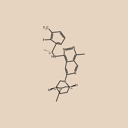 Cc1nnc(N[C@H](C)c2cccc(C(F)(F)F)c2F)c2cc(N3C[C@H]4CC[C@@H]3CN4C)ncc12